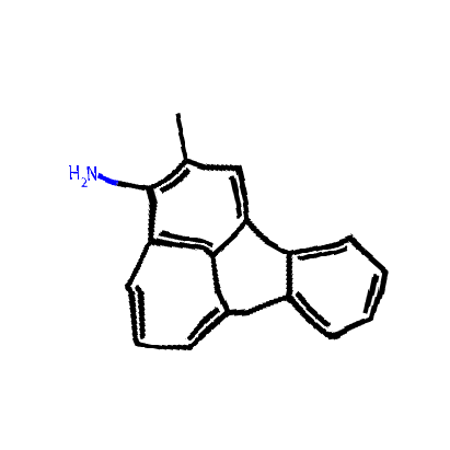 Cc1cc2c3c(cccc3c1N)-c1ccccc1-2